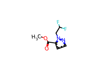 COC(=O)c1ccnn1CC(F)F